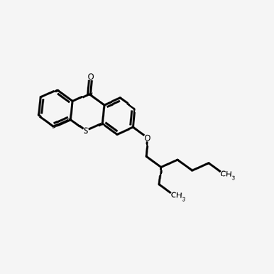 CCCCC(CC)COc1ccc2c(=O)c3ccccc3sc2c1